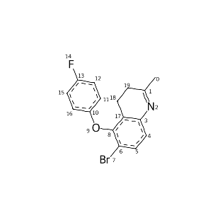 CC1=Nc2ccc(Br)c(Oc3ccc(F)cc3)c2CC1